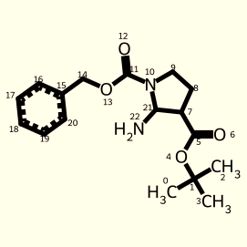 CC(C)(C)OC(=O)C1CCN(C(=O)OCc2ccccc2)C1N